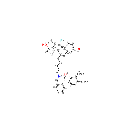 COc1ccc(CC(=O)N(CCCCC[C@@H]2Cc3cc(O)ccc3C3C2C2CC[C@H](O)[C@@]2(C)C[C@@H]3F)Cc2ccccc2)cc1OC